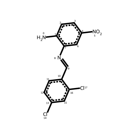 Nc1ccc([N+](=O)[O-])cc1N=Cc1ccc(Cl)cc1Cl